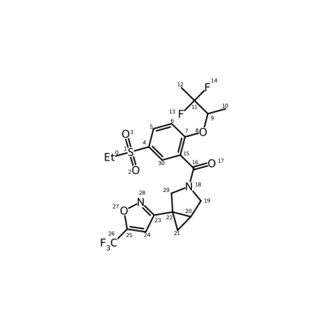 CCS(=O)(=O)c1ccc(OC(C)C(C)(F)F)c(C(=O)N2CC3CC3(c3cc(C(F)(F)F)on3)C2)c1